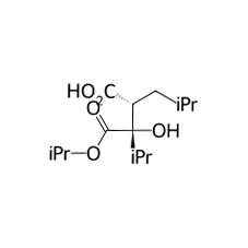 CC(C)C[C@@H](C(=O)O)[C@](O)(C(=O)OC(C)C)C(C)C